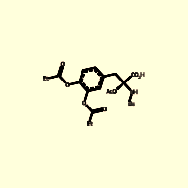 CCC(=O)Oc1ccc(C[C@](NC(C)CC)(OC(C)=O)C(=O)O)cc1OC(=O)CC